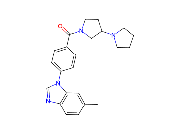 Cc1ccc2ncn(-c3ccc(C(=O)N4CCC(N5CCCC5)C4)cc3)c2c1